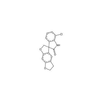 O=C1Nc2c(Cl)cccc2C12COc1cc3c(cc12)CCO3